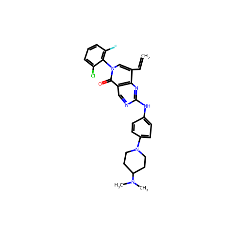 C=Cc1cn(-c2c(F)cccc2Cl)c(=O)c2cnc(Nc3ccc(N4CCC(N(C)C)CC4)cc3)nc12